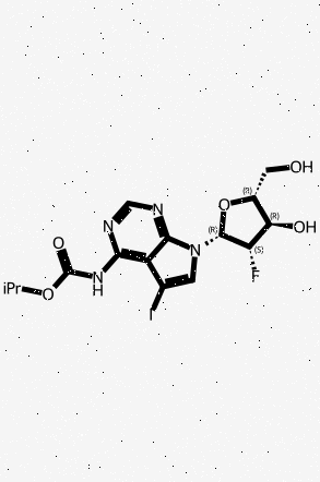 CC(C)OC(=O)Nc1ncnc2c1c(I)cn2[C@@H]1O[C@H](CO)[C@@H](O)[C@@H]1F